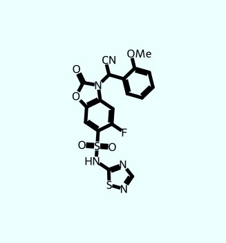 COc1ccccc1C(C#N)n1c(=O)oc2cc(S(=O)(=O)Nc3ncns3)c(F)cc21